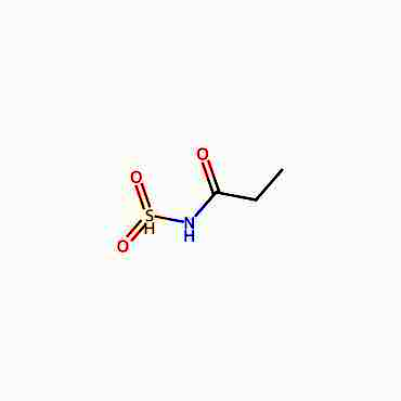 CCC(=O)N[SH](=O)=O